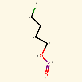 O=POCCCCCl